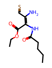 CCCCC(=O)N/C(C(=O)OCC)=C(\N)C=S